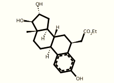 CCOC(=O)C[C@@H]1C[C@@H]2[C@H](CC[C@]3(C)[C@@H](O)[C@H](O)C[C@@H]23)c2ccc(O)cc21